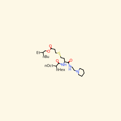 CCCCCCCCC(CCCCCC)C(=O)NC(CCSCCC(=O)OCC(CC)CCCC)C(=O)NCCN1CCCCC1